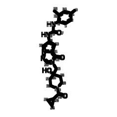 Cc1ccc(NC(=O)Nc2cc3c(=O)n(CC4(O)CCN(C(=O)C5CC5)CC4)cnn3c2)c(C)c1